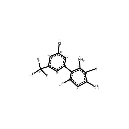 Cc1c(N)cc(F)c(-c2cc(Cl)cc(C(F)(F)F)c2)c1N